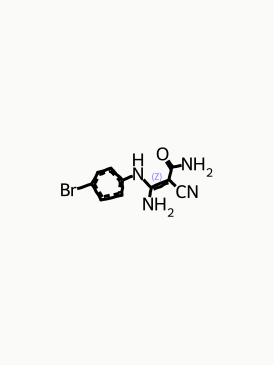 N#C/C(C(N)=O)=C(\N)Nc1ccc(Br)cc1